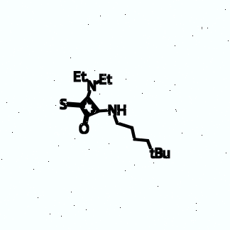 CCN(CC)c1c(NCCCCC(C)(C)C)c(=O)c1=S